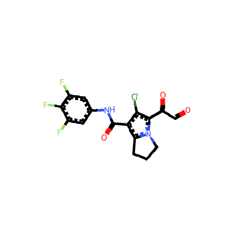 O=CC(=O)c1c(Cl)c(C(=O)Nc2cc(F)c(F)c(F)c2)c2n1CCC2